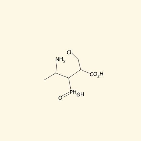 CC(N)C(C(CCl)C(=O)O)[PH](=O)O